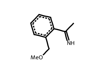 COCc1ccccc1C(C)=N